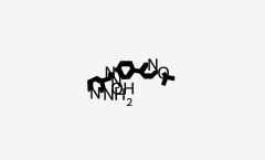 CC(C)Oc1ccc(-c2ccc3nc(-c4cccnc4N)n(O)c3c2)cn1